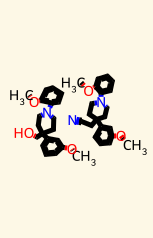 COc1cccc(C2(CC#N)CCN(c3ccccc3OC)CC2)c1.COc1cccc(C2(CO)CCN(c3ccccc3OC)CC2)c1